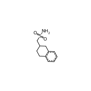 NS(=O)(=O)CC1CCc2ccccc2C1